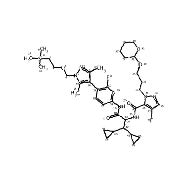 Cc1nn(COCC[Si](C)(C)C)c(C)c1-c1ccc(NC(=O)[C@@H](NC(=O)c2c(F)cnn2CCCOC2CCCCO2)C(C2CC2)C2CC2)nc1F